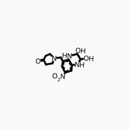 O=C1CCN(Cc2cc([N+](=O)[O-])cc3c2NC(O)C(O)N3)CC1